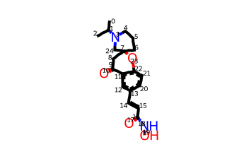 CC(C)N1CCCC2(CC(=O)c3cc(/C=C/C(=O)NO)ccc3O2)C1